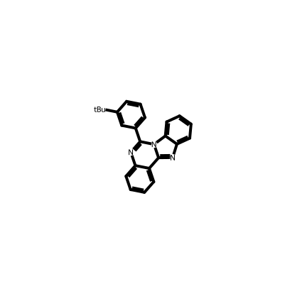 CC(C)(C)c1cccc(-c2nc3ccccc3c3nc4ccccc4n23)c1